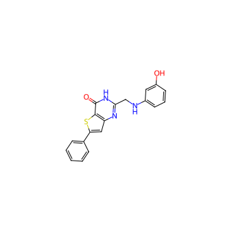 O=c1[nH]c(CNc2cccc(O)c2)nc2cc(-c3ccccc3)sc12